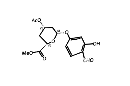 COC(=O)[C@@H]1C[C@H](OC(C)=O)C[C@H](Oc2ccc(C=O)c(O)c2)O1